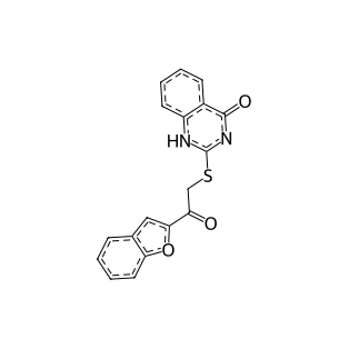 O=C(CSc1nc(=O)c2ccccc2[nH]1)c1cc2ccccc2o1